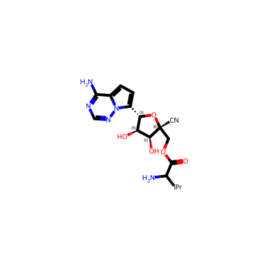 CC(C)C(N)C(=O)OC[C@@]1(C#N)O[C@@H](c2ccc3c(N)ncnn23)[C@H](O)[C@@H]1O